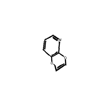 [c]1ccnc2c1OC=CO2